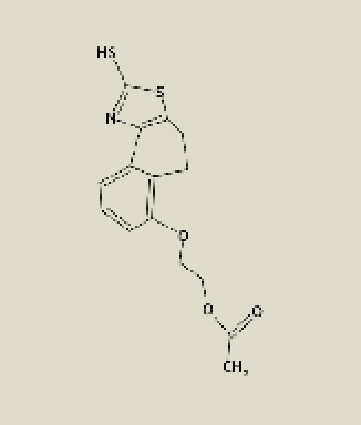 CC(=O)OCCOc1cccc2c1CCc1sc(S)nc1-2